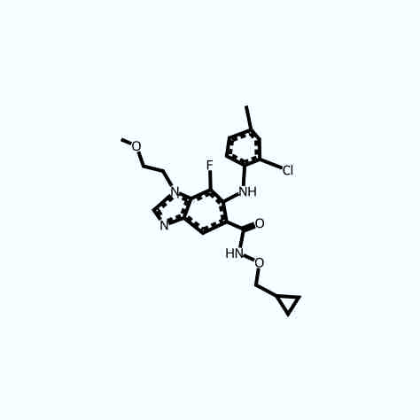 COCCn1cnc2cc(C(=O)NOCC3CC3)c(Nc3ccc(C)cc3Cl)c(F)c21